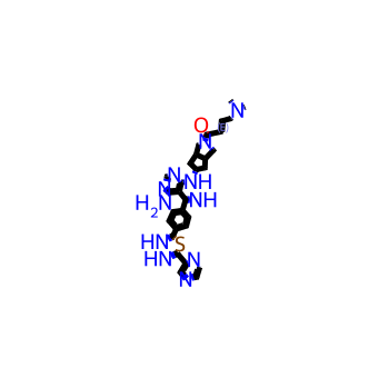 CN(C)C/C=C/C(=O)N1CC2CC(Nc3ncnc(N)c3C(=N)c3ccc(C(=N)SC(=N)c4cnccn4)cc3)CC2C1